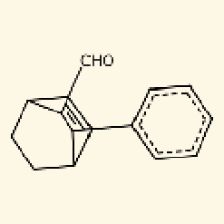 O=CC1=C(c2ccccc2)C2C=CC1CC2